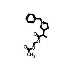 CC(=O)OCOC(=O)C(I)C1CCN(Cc2ccccc2)C1